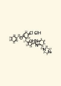 CN1CCN(Cc2cccc3[nH]c(-c4ccc(Cc5cc(Cl)ccc5OCc5ccccc5)o4)nc23)CC1.Cl